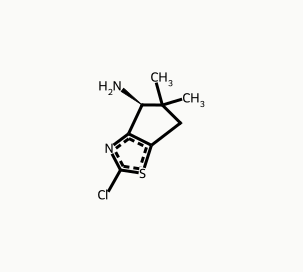 CC1(C)Cc2sc(Cl)nc2[C@H]1N